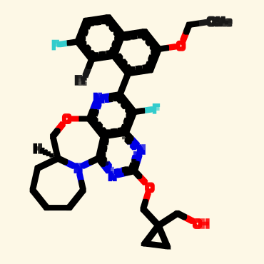 CCc1c(F)ccc2cc(OCOC)cc(-c3nc4c5c(nc(OCC6(CO)CC6)nc5c3F)N3CCCCC[C@H]3CO4)c12